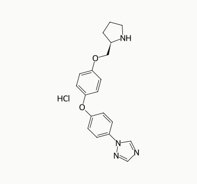 Cl.c1ncn(-c2ccc(Oc3ccc(OC[C@H]4CCCN4)cc3)cc2)n1